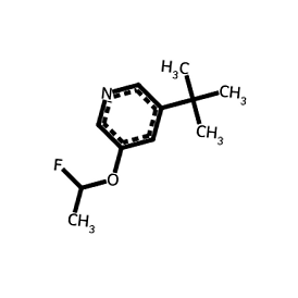 CC(F)Oc1cncc(C(C)(C)C)c1